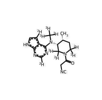 [2H]c1nc(N([C@@H]2[C@H](C)CC([2H])([2H])N(C(=O)C[N+]#[C-])C2([2H])[2H])C([2H])([2H])[2H])c2c([2H])c[nH]c2n1